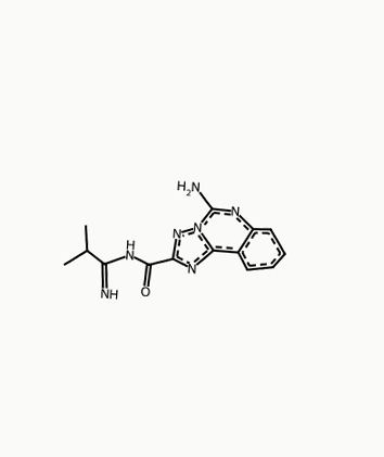 CC(C)C(=N)NC(=O)c1nc2c3ccccc3nc(N)n2n1